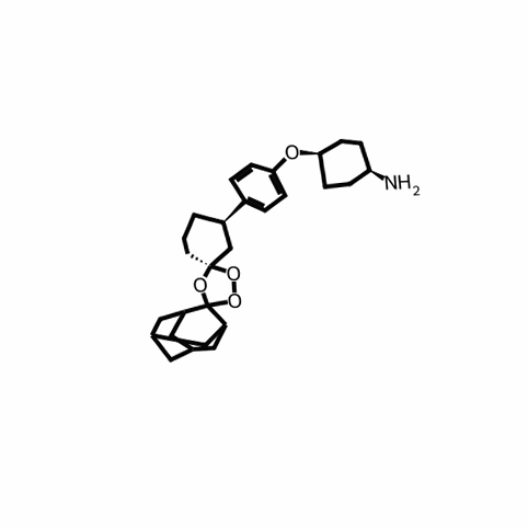 N[C@H]1CC[C@@H](Oc2ccc([C@@H]3CCC[C@]4(C3)OOC3(O4)C4CC5CC(C4)CC3C5)cc2)CC1